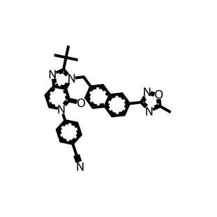 Cc1nc(-c2ccc3ccc(Cn4c(C(C)(C)C)nc5ccn(-c6ccc(C#N)cc6)c(=O)c54)cc3c2)no1